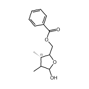 CC1C(O)OC(COC(=O)c2ccccc2)[C@H]1C